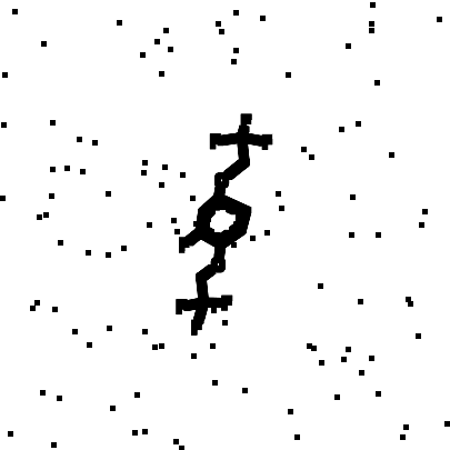 Fc1cc(OCC(F)(F)F)ccc1OCC(F)(F)F